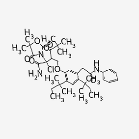 CCC(C)(C)c1cc(C(C)(C)CC)c(OCC(C(=O)C(C)(C)C)C(Cl)(C(N)=O)N2C(=O)OC(C)(C)C2=O)cc1CC(=O)Nc1ccccc1